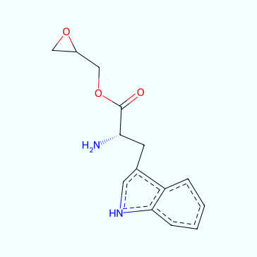 N[C@@H](Cc1c[nH]c2ccccc12)C(=O)OCC1CO1